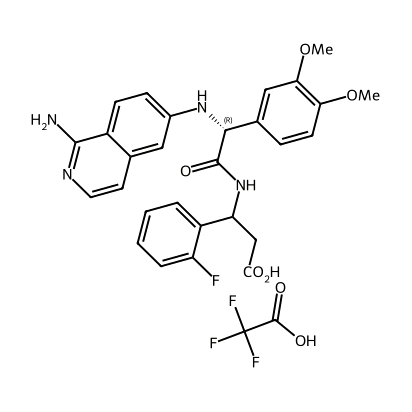 COc1ccc([C@@H](Nc2ccc3c(N)nccc3c2)C(=O)NC(CC(=O)O)c2ccccc2F)cc1OC.O=C(O)C(F)(F)F